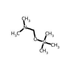 CN(C)CO[Si](C)(C)C